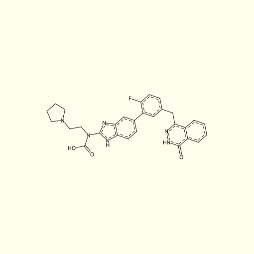 O=C(O)N(CCN1CCCC1)c1nc2cc(-c3cc(Cc4n[nH]c(=O)c5ccccc45)ccc3F)ccc2[nH]1